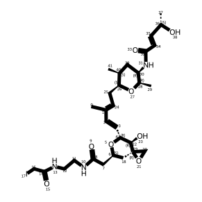 CC(C=C[C@H]1O[C@H](CC(=O)NCCNC(=O)CI)C[C@@]2(CO2)[C@@H]1O)=CC[C@@H]1O[C@H](C)[C@H](NC(=O)C=C[C@H](C)O)C[C@@H]1C